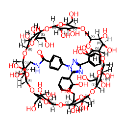 O=C(NC[C@H]1O[C@@H]2OC3[C@@H](CO)O[C@H](O[C@H]4[C@H](O)[C@@H](O)[C@@H](O[C@H]5[C@H](O)[C@@H](O)[C@@H](O[C@H]6[C@H](O)[C@@H](O)[C@@H](O[C@H]7[C@H](O)[C@@H](O)[C@@H](O[C@H]8[C@H](O)[C@@H](O)[C@@H](O[C@H]1[C@H](O)[C@H]2O)O[C@@H]8CO)O[C@@H]7CO)O[C@@H]6CO)O[C@@H]5CO)O[C@@H]4CO)[C@H](O)[C@H]3O)c1ccc(-n2nc(-c3ccccc3O)nc2-c2ccccc2O)cc1